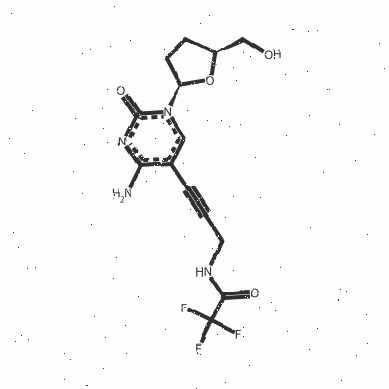 Nc1nc(=O)n([C@H]2CC[C@@H](CO)O2)cc1C#CCNC(=O)C(F)(F)F